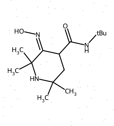 CC(C)(C)NC(=O)C1CC(C)(C)NC(C)(C)/C1=N\O